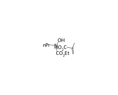 C=C(C)C(=O)O.CCCN(O)C(=O)OCC